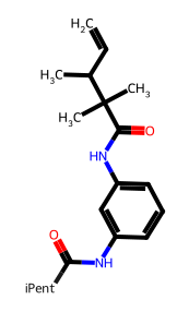 C=CC(C)C(C)(C)C(=O)Nc1cccc(NC(=O)C(C)CCC)c1